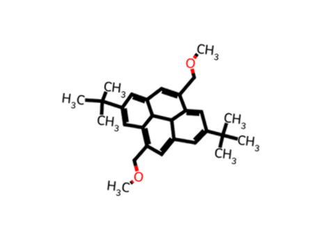 COCC1=CC2=CC(C(C)(C)C)=CC3=C(COC)C=C4C=C(C(C)(C)C)C=C1C4C23